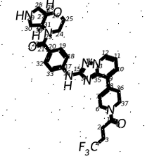 O=C(CCC(F)(F)F)N1CC=C(c2cccn3nc(Nc4ccc(C(=O)N5CCO[C@@H]6CNC[C@@H]65)cc4)nc23)CC1